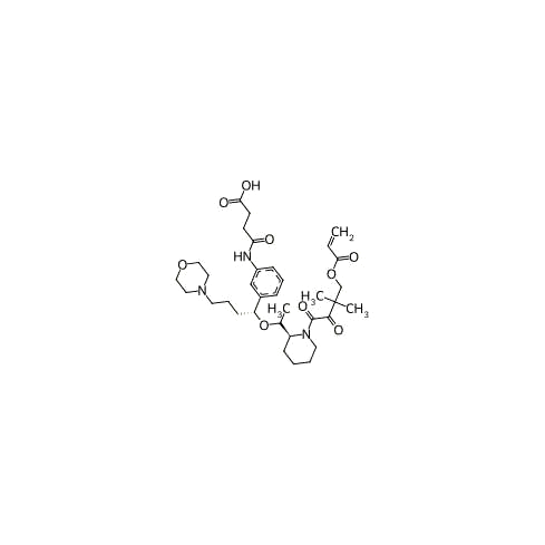 C=CC(=O)OCC(C)(C)C(=O)C(=O)N1CCCC[C@H]1C(C)O[C@H](CCCN1CCOCC1)c1cccc(NC(=O)CCC(=O)O)c1